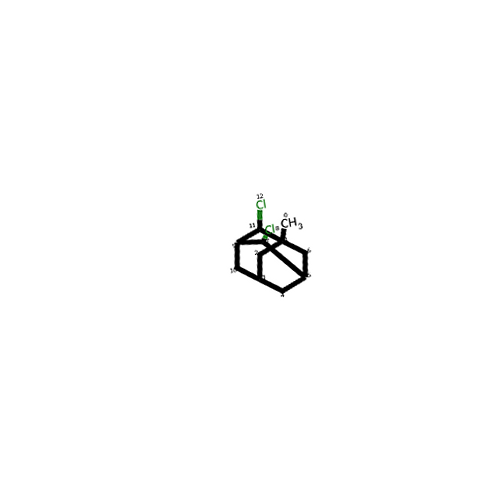 CC12CC3CC(C1)C(Cl)C(C3)C2Cl